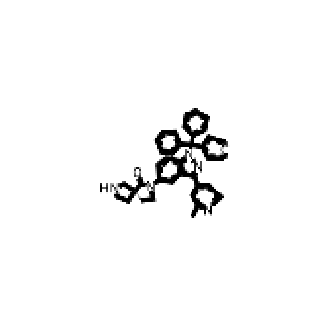 Cc1cc(-c2nn(C(c3ccccc3)(c3ccccc3)c3ccccc3)c3ccc(N4CC[C@@]5(CCNC5)C4=O)cc23)ccn1